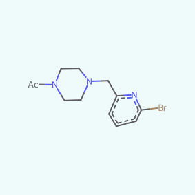 CC(=O)N1CCN(Cc2cccc(Br)n2)CC1